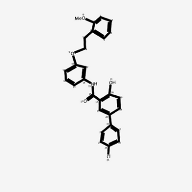 COc1ccccc1CCOc1cccc(NC(=O)c2cc(-c3ccc(Cl)cc3)ccc2O)c1